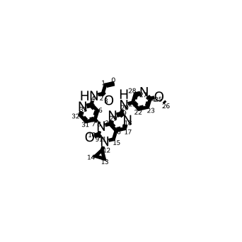 C=CC(=O)Nc1cc(N2C(=O)N(C3CC3)Cc3cnc(Nc4ccc(OC)nc4)nc32)ccn1